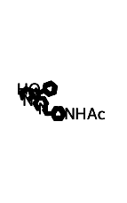 CC(=O)Nc1ccc(CN2CCC(c3ccccn3)(C(O)c3ccccc3)CC2)cc1